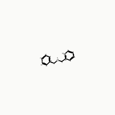 [c]1cccc(COCc2ccccc2)n1